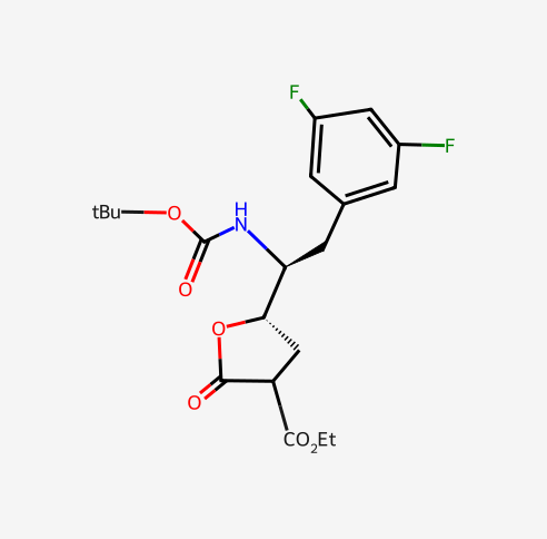 CCOC(=O)C1C[C@@H]([C@H](Cc2cc(F)cc(F)c2)NC(=O)OC(C)(C)C)OC1=O